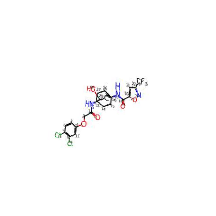 O=C(COc1ccc(Cl)c(Cl)c1)NC12CCC(NC(=O)c3cc(C(F)(F)F)no3)(CC1)CC2O